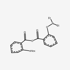 CCCCCCc1ccccc1C(=O)OC(=O)c1ccccc1ON(CC)CC